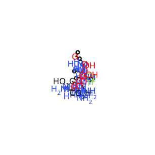 N=C(N)NCCC[C@@H](NC(=O)[C@@H](CCCNC(=N)N)NC(=O)[C@@H](CCC(=O)O)NC(=O)[C@@H](CCCNC(=N)N)NC(=O)[C@@H](CC1CCCCC1)NC(=O)[C@@H](Cc1c(F)c(F)c(F)c(F)c1F)NC(=O)[C@@H](CO)NC(=O)[C@@H](Cc1c[nH]c2ccccc12)NC(=O)[C@@H](CO)NC(=O)[C@H](N)Cc1ccc(C(=O)c2ccccc2)cc1)C(=O)O